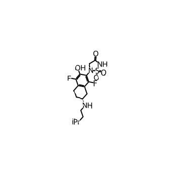 CC(C)CCN[C@@H]1CCc2c(F)c(O)c(N3CC(=O)NS3(=O)=O)c(F)c2C1